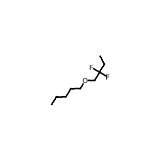 CCCCCOCC(F)(F)CC